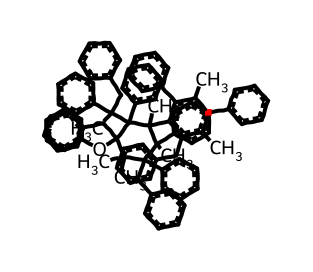 Cc1c(Cc2ccccc2)c(C2(C)C(C)(c3ccccc3)C(Cc3ccccc3)(c3ccccc3)C(C)(C)C(Cc3ccccc3)(Oc3ccccc3)C2(c2ccccc2)C(C)(Cc2ccccc2)c2ccccc2)c(-c2ccccc2)c(C)c1-c1ccccc1